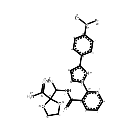 CCCCC(NC(=O)c1cccnc1-n1ccc(-c2ccc(N(CC)CC)cc2)n1)C1(C(N)=O)OCCO1